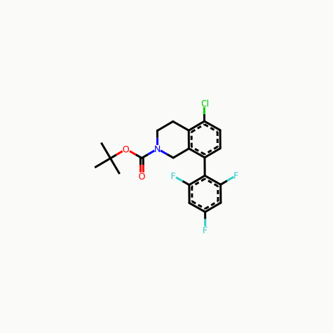 CC(C)(C)OC(=O)N1CCc2c(Cl)ccc(-c3c(F)cc(F)cc3F)c2C1